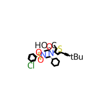 CC(C)(C)C#Cc1cc(N2C(=O)CN(S(=O)(=O)c3cccc(Cl)c3)C[C@H]2C2CCCCC2)c(C(=O)O)s1